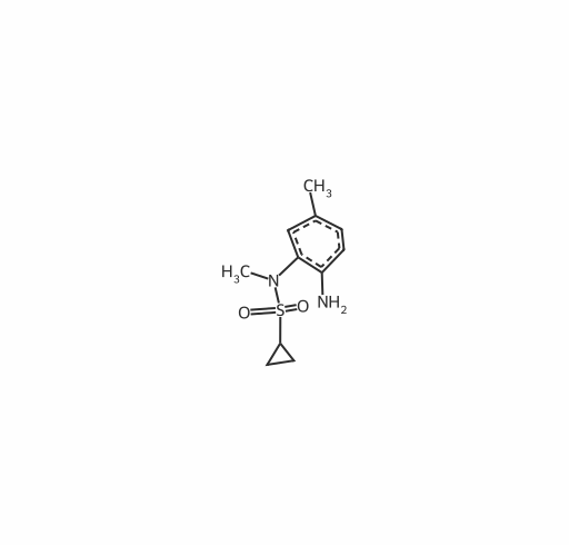 Cc1ccc(N)c(N(C)S(=O)(=O)C2CC2)c1